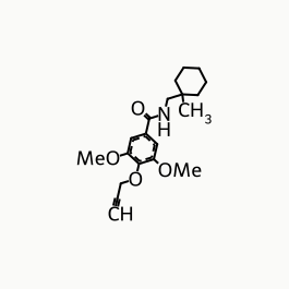 C#CCOc1c(OC)cc(C(=O)NCC2(C)CCCCC2)cc1OC